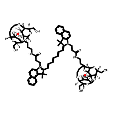 CC1(C)C(/C=C/C=C/C=C/C=C2/N(CCC(=O)NCCCO[C@@H]3[C@@H](O)[C@@H]4OC5O[C@H](CO)[C@@H](OCCC[C@H]3O[C@@H]4CO)[C@H](O)[C@H]5O)c3ccc4ccccc4c3C2(C)C)=[N+](CCC(=O)NCCCO[C@H]2[C@H]3OC4[C@@H](CO)O[C@H](CCCO[C@@H]([C@@H]2O)[C@@H](CO)O3)[C@H](O)[C@H]4O)c2ccc3ccccc3c21